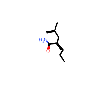 C=C(C)C/C(=C/CC)C(N)=O